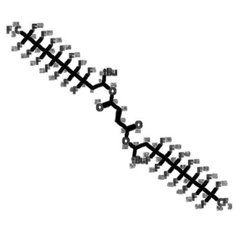 CC(C)(C)C(CC(F)(F)C(F)(F)C(F)(F)C(F)(F)C(F)(F)C(F)(F)C(F)(F)C(F)(F)F)OC(=O)/C=C/C(=O)OC(CC(F)(F)C(F)(F)C(F)(F)C(F)(F)C(F)(F)C(F)(F)C(F)(F)C(F)(F)F)C(C)(C)C